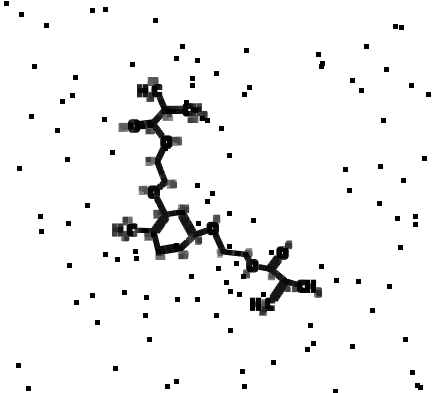 C=C(C)C(=O)OCCOc1ccc(C)c(OCCOC(=O)C(=C)C)c1